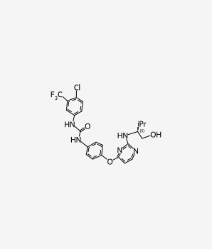 CC(C)[C@@H](CO)Nc1nccc(Oc2ccc(NC(=O)Nc3ccc(Cl)c(C(F)(F)F)c3)cc2)n1